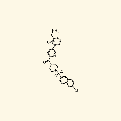 NCc1cccc(-c2cnc(C(=O)N3CCN(S(=O)(=O)c4ccc5cc(Cl)ccc5c4)CC3)nc2)[n+]1[O-]